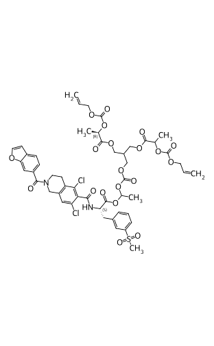 C=CCOC(=O)OC(C)C(=O)OCC(COC(=O)OC(C)OC(=O)[C@H](Cc1cccc(S(C)(=O)=O)c1)NC(=O)c1c(Cl)cc2c(c1Cl)CCN(C(=O)c1ccc3ccoc3c1)C2)COC(=O)[C@@H](C)OC(=O)OCC=C